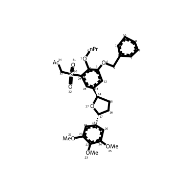 CCCOc1c(OCc2ccccc2)cc([C@H]2CC[C@H](c3cc(OC)c(OC)c(OC)c3)O2)cc1S(=O)(=O)CC(C)=O